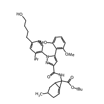 COc1cccc(OC)c1-c1cc(C(=O)NC2(C(=O)OC(C)(C)C)C3=CCC(C)CC32)nn1-c1ccc(CCCCO)cc1C(C)C